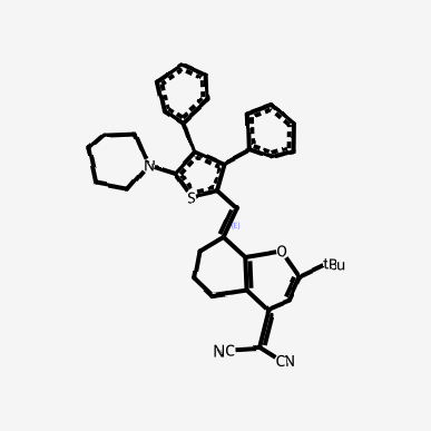 CC(C)(C)C1=CC(=C(C#N)C#N)C2=C(O1)/C(=C/c1sc(N3CCCCC3)c(-c3ccccc3)c1-c1ccccc1)CCC2